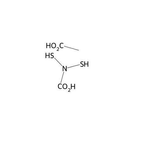 CC(=O)O.O=C(O)N(S)S